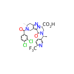 C[C@@H]1Cc2nn3c(c2CN1C(=O)c1ccc(Cl)c(Cl)c1)C(=O)N([C@@H](C)c1ccc(C(F)(F)F)nc1)C[C@H]3C(=O)O